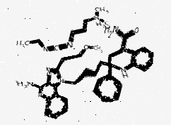 CCN=C=NCCCN(C)C.COCCc1nc2c(N)nc3ccccc3c2n1CCCCC1(c2ccccc2)C=C(C(N)=O)c2ccccc2N1